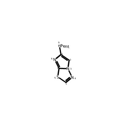 CCCCCc1cn2ncsc2n1